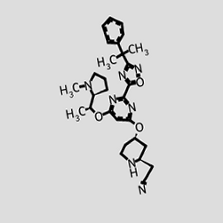 C[C@H](Oc1cc(O[C@H]2CCN[C@H](CC#N)C2)nc(-c2nc(C(C)(C)c3ccccc3)no2)n1)[C@@H]1CCCN1C